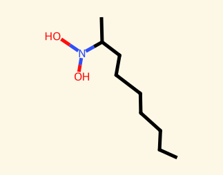 CCCCCCCC(C)N(O)O